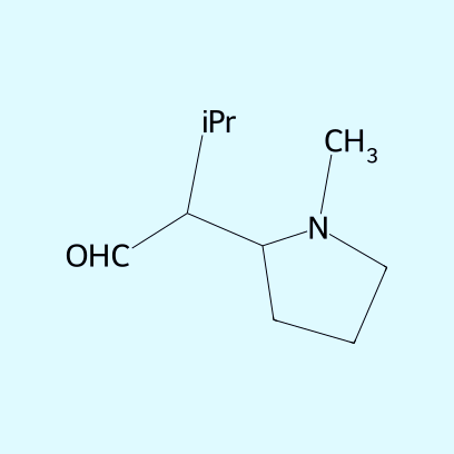 CC(C)C(C=O)C1CCCN1C